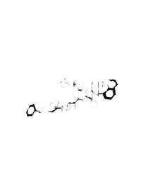 CC(C)(C)OC(=O)N[C@@H](CCCCNC(=O)COCc1ccccc1)C(=O)Nc1cccc2cccnc12